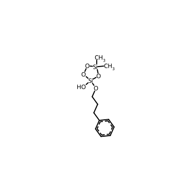 C[Si]1(C)OO[Si](O)(OCCCc2ccccc2)O1